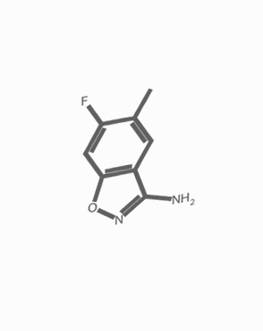 Cc1cc2c(N)noc2cc1F